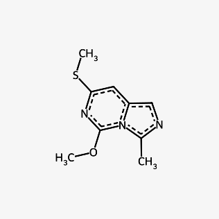 COc1nc(SC)cc2cnc(C)n12